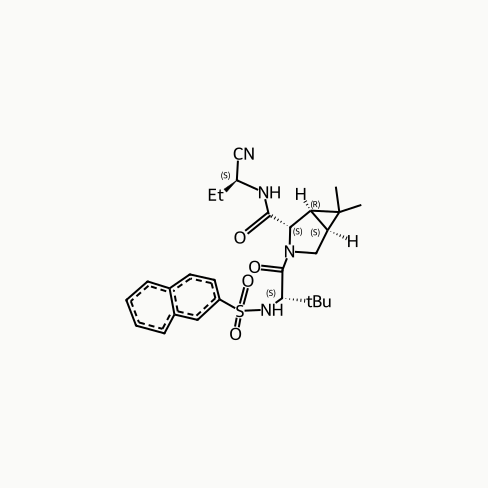 CC[C@@H](C#N)NC(=O)[C@@H]1[C@@H]2[C@H](CN1C(=O)[C@@H](NS(=O)(=O)c1ccc3ccccc3c1)C(C)(C)C)C2(C)C